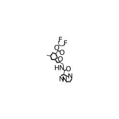 Cc1cc(C(=O)OC(CF)CF)c2oc(CNC(=O)c3cnn4cccnc34)cc2c1